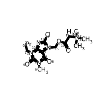 CC(C)Cn1c(=O)n(C)c(=O)c2c1nc(Cl)n2COC(=O)C[N+](C)(C)C